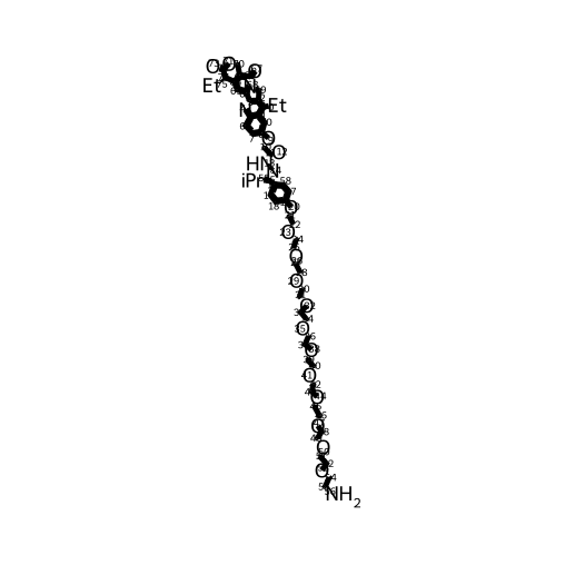 CCc1c2c(nc3ccc(OCC(=O)N/N=C(/c4ccc(OCCOCCOCCOCCOCCOCCOCCOCCOCCOCCOCCOCCN)cc4)C(C)C)cc13)-c1cc3c(c(=O)n1C2)COC(=O)[C@@H]3CC